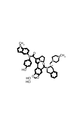 CN1CCN(C[C@@H]2Cc3ccccc3CN2C(=O)c2cc3c(cc2-c2cc(C(=O)N(c4ccc(O)cc4)c4ccc5c(ccn5C)c4)c4n2CCC4)OCO3)CC1.Cl.Cl